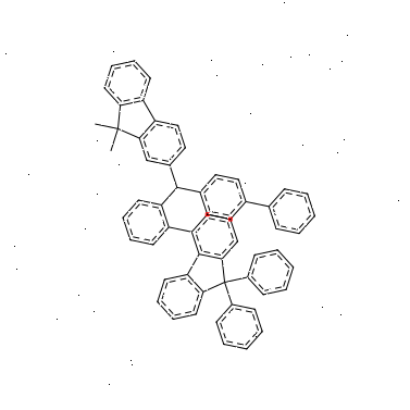 CC1(C)c2ccccc2-c2ccc(C(c3ccc(-c4ccccc4)cc3)c3ccccc3-c3cccc4c3-c3ccccc3C4(c3ccccc3)c3ccccc3)cc21